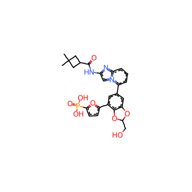 CC1(C)CC(C(=O)Nc2cn3c(-c4cc5c(c(-c6ccc(P(=O)(O)O)o6)c4)OC(CO)O5)cccc3n2)C1